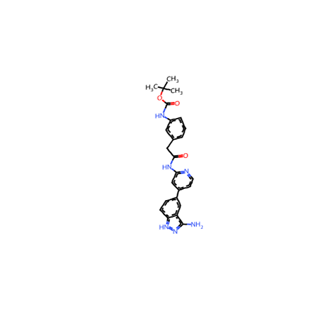 CC(C)(C)OC(=O)Nc1cccc(CC(=O)Nc2cc(-c3ccc4[nH]nc(N)c4c3)ccn2)c1